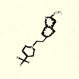 Cc1cc2ccc(CCN3CC=C(C(F)(F)F)CC3)cc2cn1